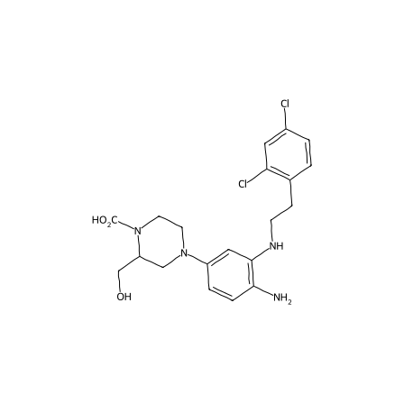 Nc1ccc(N2CCN(C(=O)O)C(CO)C2)cc1NCCc1ccc(Cl)cc1Cl